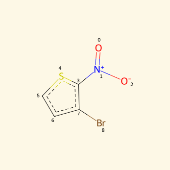 O=[N+]([O-])c1sccc1Br